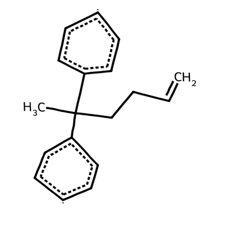 C=CCCC(C)(c1cc[c]cc1)c1cc[c]cc1